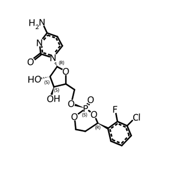 Nc1ccn([C@@H]2OC(CO[P@]3(=O)OCC[C@H](c4cccc(Cl)c4F)O3)[C@@H](O)[C@@H]2O)c(=O)n1